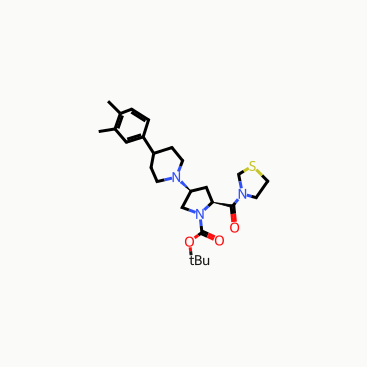 Cc1ccc(C2CCN([C@H]3C[C@@H](C(=O)N4CCSC4)N(C(=O)OC(C)(C)C)C3)CC2)cc1C